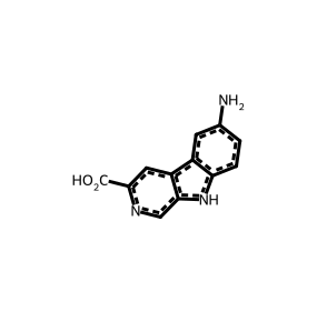 Nc1ccc2[nH]c3cnc(C(=O)O)cc3c2c1